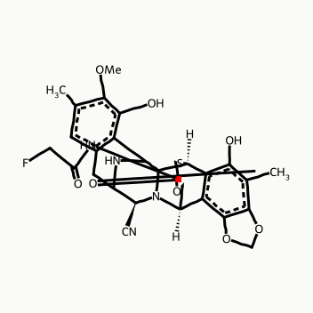 COc1c(C)cc2c(c1O)C1NC(C2)[C@H](C#N)N2C1[C@@H]1SCC(NC(=O)CF)C(=O)OC[C@H]2c2c3c(c(C)c(O)c21)OCO3